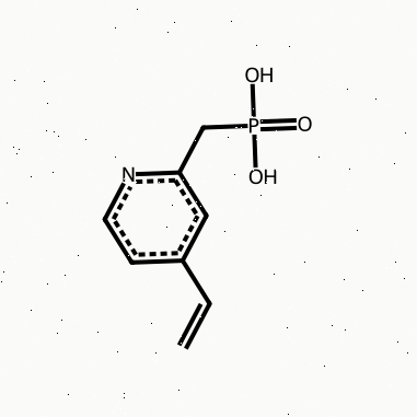 C=Cc1ccnc(CP(=O)(O)O)c1